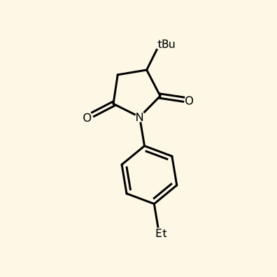 CCc1ccc(N2C(=O)CC(C(C)(C)C)C2=O)cc1